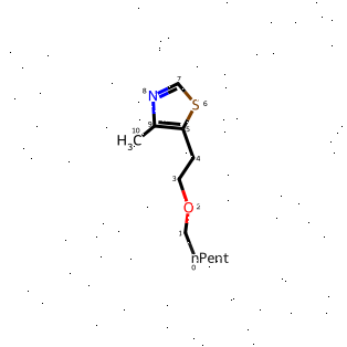 CCCCCCOCCc1scnc1C